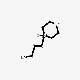 NCCC[N+]1([O-])CCOCC1